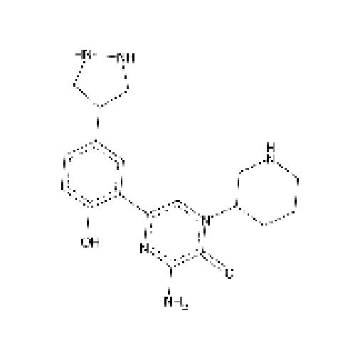 Nc1nc(-c2cc(C3CNNC3)ccc2O)cn(C2CCCNC2)c1=O